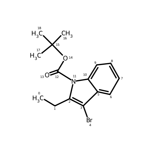 CCc1c(Br)c2ccccc2n1C(=O)OC(C)(C)C